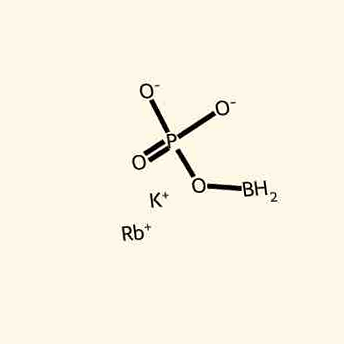 BOP(=O)([O-])[O-].[K+].[Rb+]